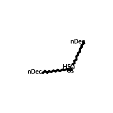 CCCCCCCCCCCCCCCCCCCCCCOP(=S)(S)OCCCCCCCCCCCCCCCCCCCCCC